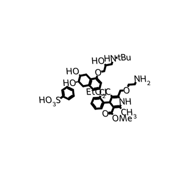 CC(C)(C)NCC(O)COc1cccc2c1C[C@H](O)[C@H](O)C2.CCOC(=O)C1=C(COCCN)NC(C)=C(C(=O)OC)C1c1ccccc1Cl.O=S(=O)(O)c1ccccc1